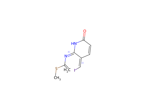 C=C(/N=C1/NC(=O)C=C/C1=C/I)SC